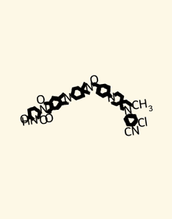 CC1CC2(CCN(c3ccc(C(=O)N4CC5(CCC(N6Cc7cc8c(cc7C6)C(=O)N(C6CCC(=O)NC6=O)C8=O)CC5)C4)cc3)CC2)CN1c1ccc(C#N)c(Cl)c1